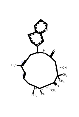 CC1=C/C[C@@H](c2ccc3cccnc3c2)NC(=O)C[C@H](O)C(C)(C)C(=O)[C@H](C)[C@@H](O)[C@@H](C)C\C=C\1